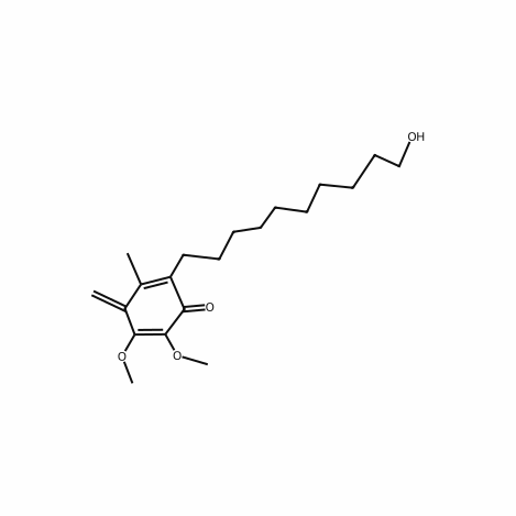 C=C1C(C)=C(CCCCCCCCCCO)C(=O)C(OC)=C1OC